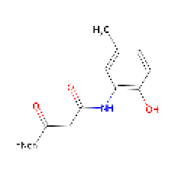 CCCCCCCCCC(=O)CC(=O)Nc1cc(C)ccc1O